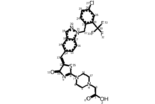 O=C(O)CN1CCN(C2=NC(=O)/C(=C/c3ccc4c(cnn4Cc4ccc(Cl)cc4C(F)(F)F)c3)S2)CC1